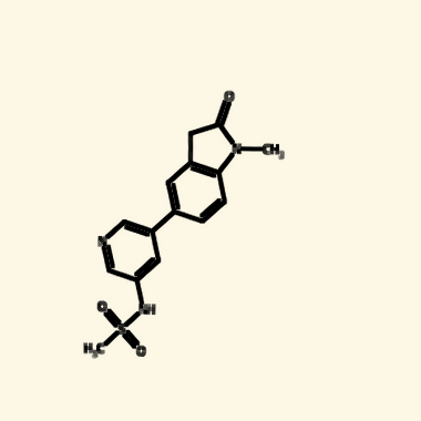 CN1C(=O)Cc2cc(-c3cncc(NS(C)(=O)=O)c3)ccc21